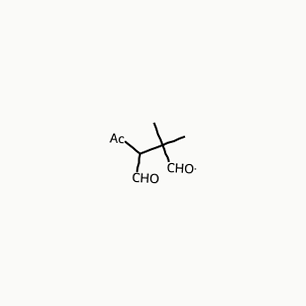 CC(=O)C(C=O)C(C)(C)[C]=O